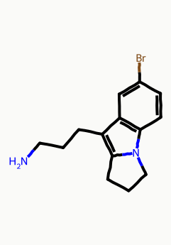 NCCCc1c2n(c3ccc(Br)cc13)CCC2